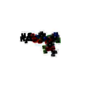 CC(C)(C)OC(=O)CN(c1cccc2c1ccn2CC(=O)O[C@@H](Cc1c(Cl)cncc1Cl)c1ccc(OC(F)F)c(OCC2CC2)c1)[SH](=O)=O